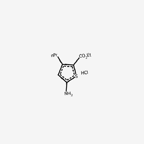 CCCc1cc(N)sc1C(=O)OCC.Cl